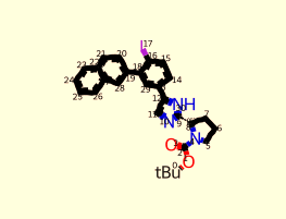 CC(C)(C)OC(=O)N1CCC[C@H]1c1ncc(-c2ccc(I)c(-c3ccc4ccccc4c3)c2)[nH]1